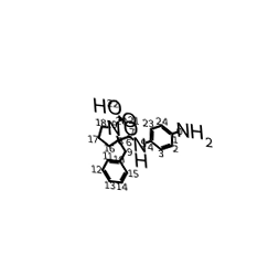 Nc1ccc(NC(=O)C2(Cc3ccccc3)CCCN2C(=O)O)cc1